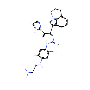 C=C(/C(=N\C(=N/C)Nc1cc(N)c(N(C)CCN(C)C)cc1OC)c1cn2c3c(cccc13)CCC2)c1nccn1C